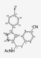 CC(=O)NC(Cc1ccc(C#N)cc1)c1nnc(-c2ccc(F)cc2)o1